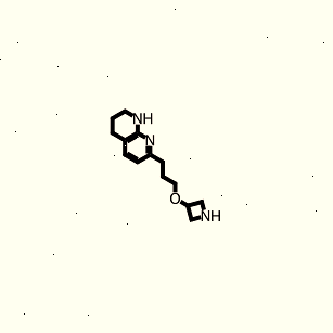 c1cc2c(nc1CCCOC1CNC1)NCCC2